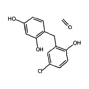 C=O.Oc1ccc(Cc2cc(Cl)ccc2O)c(O)c1